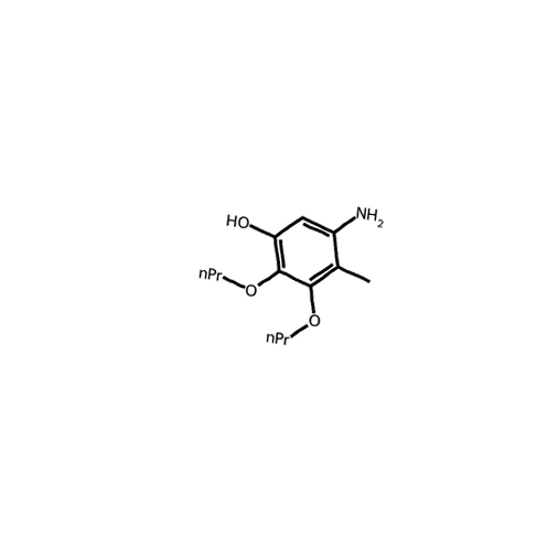 CCCOc1c(O)cc(N)c(C)c1OCCC